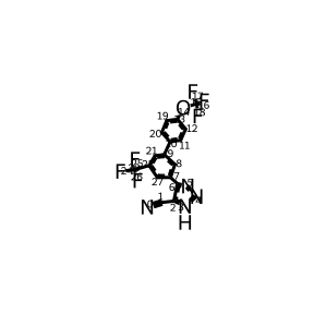 N#Cc1[nH]nnc1-c1cc(-c2ccc(OC(F)(F)F)cc2)cc(C(F)(F)F)c1